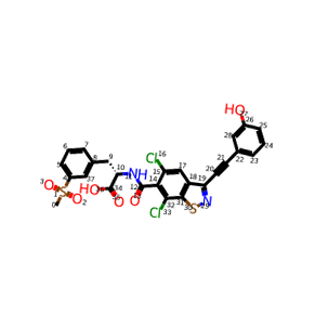 CS(=O)(=O)c1cccc(C[C@H](NC(=O)c2c(Cl)cc3c(C#Cc4cccc(O)c4)nsc3c2Cl)C(=O)O)c1